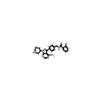 Nc1ncnc2c1c(-c1ccc(CNC(=O)c3ccccc3Cl)cc1)nn2[C@@H]1CCCNC1